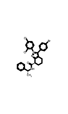 C[C@@H](NC(=O)[C@@H]1CCCc2c1nn(-c1ccc(Cl)cc1Cl)c2-c1ccc(Br)cc1)c1ccccc1